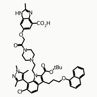 Cc1nc2c(C(=O)O)cc(OCC(=O)N3CCN(CCn4c(C(=O)OC(C)(C)C)c(CCCOc5cccc6ccccc56)c5ccc(Cl)c(-c6c(C)nn(C)c6C)c54)CC3)cc2[nH]1